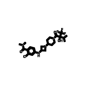 CC(C)C(O)(C(=O)N1CCC(N2CC(Nc3ccc(C(=O)N(C)C)c(Cl)c3)C2)CC1)C(F)(F)F